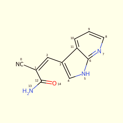 N#CC(=Cc1c[nH]c2ncccc12)C(N)=O